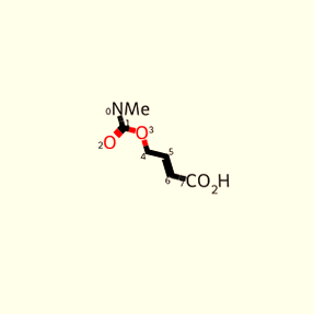 CNC(=O)OCC=CC(=O)O